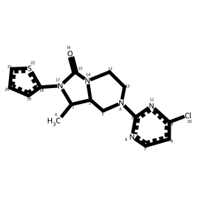 CC1C2CN(c3nccc(Cl)n3)CCN2C(=O)N1c1cccs1